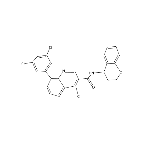 O=C(NC1CCOc2ccccc21)c1cnc2c(-c3cc(Cl)cc(Cl)c3)cccc2c1Cl